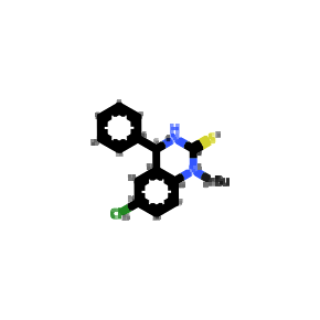 CCCCN1C(=S)NC(c2ccccc2)c2cc(Cl)ccc21